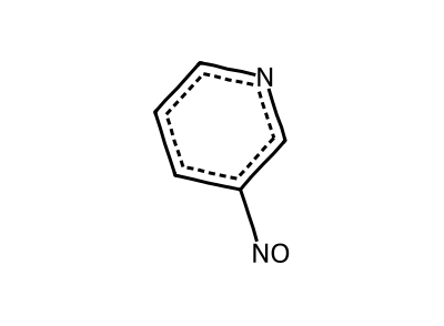 O=Nc1cccnc1